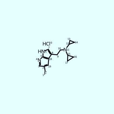 Cl.Fc1cnc2[nH]cc(CCN(C3CC3)C3CC3)c2c1